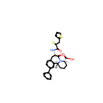 O=C(N[C@H]1Cc2ccc(-c3ccccc3)cc2[C@H]2CCC[C@@H](C(=O)O)N2C1=O)C(=S)Cc1cccs1